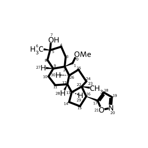 COC[C@]12CC[C@@](C)(O)C[C@H]1CC[C@H]1[C@@H]3CC[C@H](c4ccno4)[C@@]3(C)CC[C@@H]12